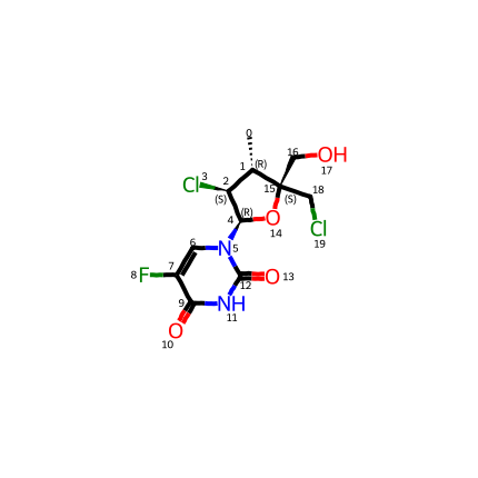 C[C@H]1[C@H](Cl)[C@H](n2cc(F)c(=O)[nH]c2=O)O[C@@]1(CO)CCl